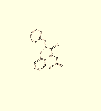 O=C(NN=S(=O)=O)C(Cc1ccccc1)Oc1ccccc1